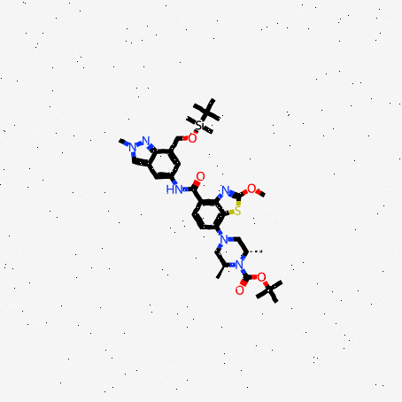 COc1nc2c(C(=O)Nc3cc(CO[Si](C)(C)C(C)(C)C)c4nn(C)cc4c3)ccc(N3C[C@H](C)N(C(=O)OC(C)(C)C)[C@@H](C)C3)c2s1